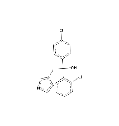 OC(Cn1cncn1)(c1ccc(Cl)cc1)c1ccccc1Cl